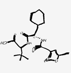 Cc1cc(C(=O)N[C@H](C(=O)NC(C(=O)O)C(C)(C)C)C2CCCCC2)no1